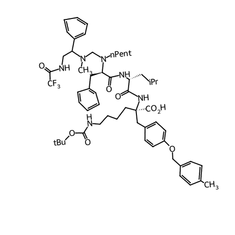 CCCCCN(CN(C)C(CNC(=O)C(F)(F)F)c1ccccc1)[C@H](Cc1ccccc1)C(=O)N[C@H](CC(C)C)C(=O)N[C@](CCCCNC(=O)OC(C)(C)C)(Cc1ccc(OCc2ccc(C)cc2)cc1)C(=O)O